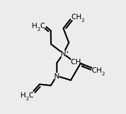 C=CCN(CC=C)C[N+](C)(CC=C)CC=C